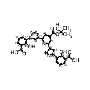 CC(C)(C)OC(=O)c1cc(-c2cn(-c3cccc(C(=O)O)c3O)nn2)nc(-c2cn(-c3cccc(C(=O)O)c3O)nn2)c1